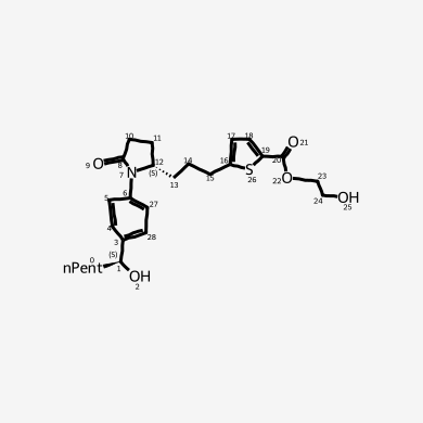 CCCCC[C@H](O)c1ccc(N2C(=O)CC[C@@H]2CCCc2ccc(C(=O)OCCO)s2)cc1